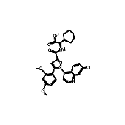 COc1ccc(-c2cc(C(=O)NC(C(=O)O)C3CCCCC3)nn2-c2ccnc3cc(Cl)ccc23)c(OC)c1